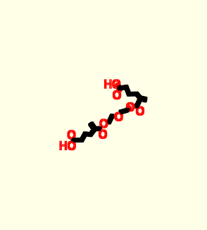 C=C(CCCC(=O)O)C(=O)OCCOCCOC(=O)C(=C)CCCC(=O)O